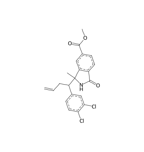 C=CCC(c1ccc(Cl)c(Cl)c1)C1(C)NC(=O)c2ccc(C(=O)OC)cc21